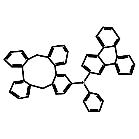 c1ccc(N(c2ccc3c(c2)-c2ccccc2Cc2ccccc2-c2ccccc2C3)c2ccc3c4ccccc4c4ccccc4c3c2)cc1